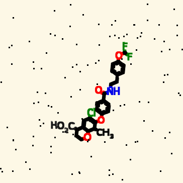 CC1C(Oc2ccc(C(=O)NCCc3ccc(OC(F)F)cc3)cc2)=C(Cl)C=C2C(C(=O)O)CCOC21